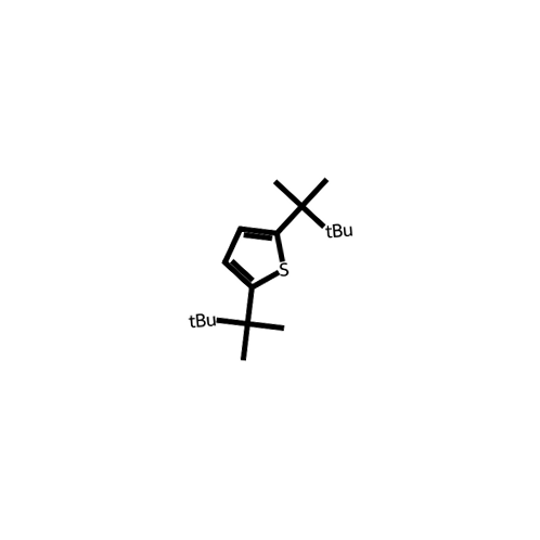 CC(C)(C)C(C)(C)c1ccc(C(C)(C)C(C)(C)C)s1